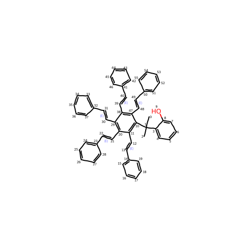 CC(C)(c1ccccc1O)c1c(/C=C/c2ccccc2)c(/C=C/c2ccccc2)c(/C=C/c2ccccc2)c(/C=C/c2ccccc2)c1/C=C/c1ccccc1